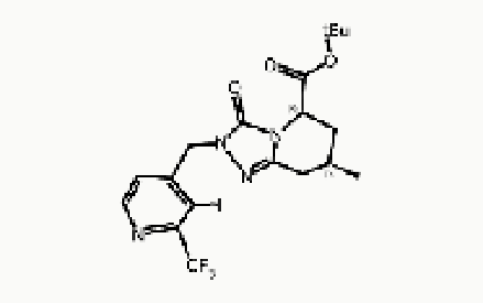 C[C@H]1Cc2nn(Cc3ccnc(C(F)(F)F)c3F)c(=O)n2[C@@H](C(=O)OC(C)(C)C)C1